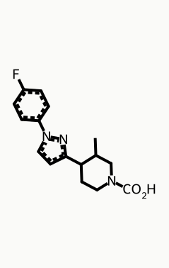 CC1CN(C(=O)O)CCC1c1ccn(-c2ccc(F)cc2)n1